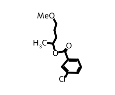 COCCCC(C)OC(=O)c1cccc(Cl)c1